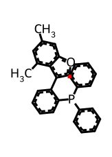 Cc1cc(C)c2c(-c3ccccc3P(c3ccccc3)c3ccccc3)coc2c1